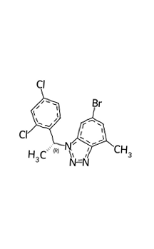 Cc1cc(Br)cc2c1nnn2[C@H](C)c1ccc(Cl)cc1Cl